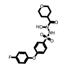 O=C(C1CCOCC1)N(O)NS(=O)(=O)c1ccc(Oc2ccc(F)cc2)cc1